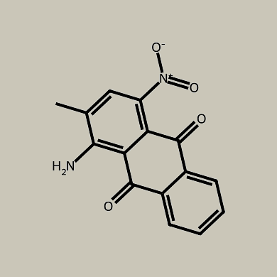 Cc1cc([N+](=O)[O-])c2c(c1N)C(=O)c1ccccc1C2=O